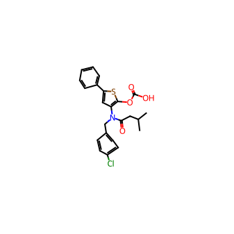 CC(C)CC(=O)N(Cc1ccc(Cl)cc1)c1cc(-c2ccccc2)sc1OC(=O)O